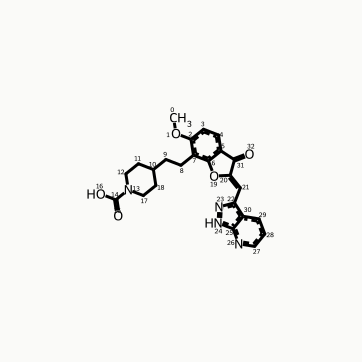 COc1ccc2c(c1CCC1CCN(C(=O)O)CC1)O/C(=C\c1n[nH]c3ncccc13)C2=O